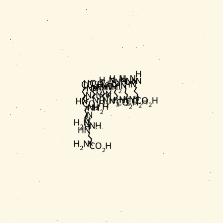 N=C(N)NCCC[C@H](N)C(=O)O.N=C(N)NCCC[C@H](N)C(=O)O.N=C(N)NCCC[C@H](N)C(=O)O.N=C(N)NCCC[C@H](N)C(=O)O.N[C@@H](Cc1c[nH]cn1)C(=O)O.N[C@@H](Cc1c[nH]cn1)C(=O)O.N[C@@H](Cc1c[nH]cn1)C(=O)O.N[C@@H](Cc1c[nH]cn1)C(=O)O